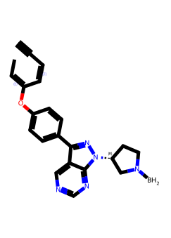 BN1CC[C@@H](n2nc(-c3ccc(OC(/C=C\C#C)=C/C)cc3)c3cncnc32)C1